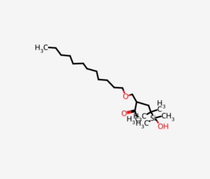 CCCCCCCCCCCCOCC(CC(C)(C)[Si](C)(C)O)C(C)=O